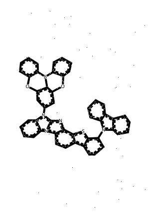 c1ccc2c(c1)Oc1cc(-n3c4ccccc4n4c5ccc6c7cccc(-n8c9ccccc9c9ccccc98)c7sc6c5nc34)cc3c1B2c1ccccc1O3